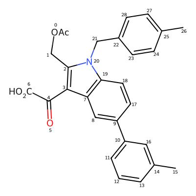 CC(=O)OCc1c(C(=O)C(=O)O)c2cc(-c3cccc(C)c3)ccc2n1Cc1ccc(C)cc1